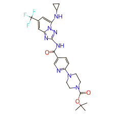 CC(C)(C)OC(=O)N1CCN(c2ccc(C(=O)Nc3nc4cc(C(F)(F)F)cc(NC5CC5)n4n3)cn2)CC1